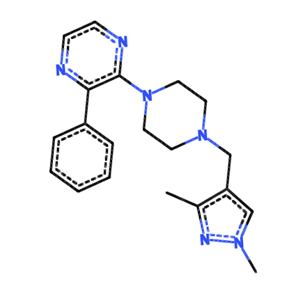 Cc1nn(C)cc1CN1CCN(c2nccnc2-c2ccccc2)CC1